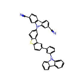 N#Cc1ccc2c3ccc(C#N)cc3n(-c3ccc4sc5ccc(-c6cccc(-n7c8ccccc8c8ccccc87)c6)cc5c4c3)c2c1